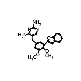 COc1cc(Cc2cnc(N)nc2N)cc(-c2cc3ccccc3o2)c1OC